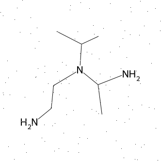 CC(C)N(CCN)C(C)N